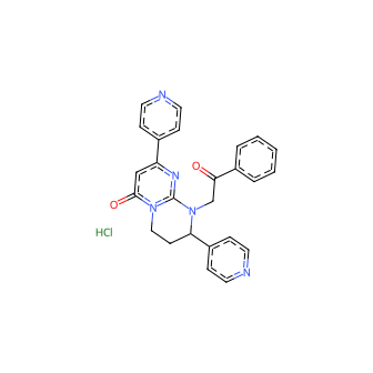 Cl.O=C(CN1c2nc(-c3ccncc3)cc(=O)n2CCC1c1ccncc1)c1ccccc1